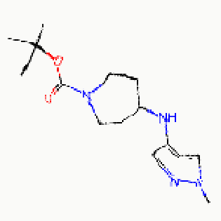 Cn1cc(NC2CCN(C(=O)OC(C)(C)C)CC2)cn1